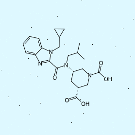 CC(C)CN(C(=O)c1nc2ccccc2n1CC1CC1)[C@H]1C[C@@H](C(=O)O)CN(C(=O)O)C1